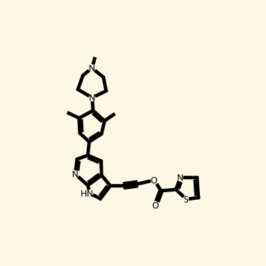 Cc1cc(-c2cnc3[nH]cc(C#COC(=O)c4nccs4)c3c2)cc(C)c1N1CCN(C)CC1